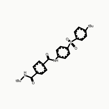 CC(C)(C)NC(=O)c1ccc(C(=O)Nc2ccc(S(=O)(=O)c3ccc(C(C)(C)C)cc3)cc2)cc1